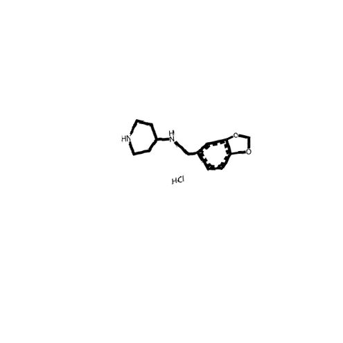 Cl.c1cc2c(cc1CNC1CCNCC1)OCO2